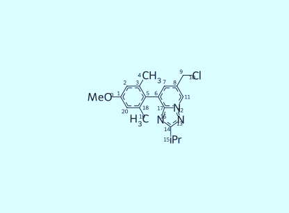 COc1cc(C)c(-c2cc(CCl)cn3nc(C(C)C)nc23)c(C)c1